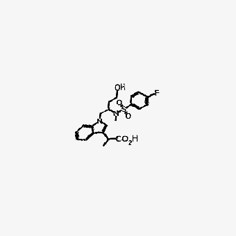 CC(C(=O)O)c1cn(C[C@@H](CCO)N(C)S(=O)(=O)c2ccc(F)cc2)c2ccccc12